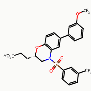 O=C(O)CC[C@H]1CN(S(=O)(=O)c2cccc(C(F)(F)F)c2)c2cc(-c3cccc(OC(F)(F)F)c3)ccc2O1